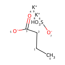 CCCC(=O)[O-].O=S(=O)([O-])O.[K+].[K+]